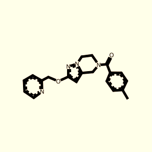 Cc1ccc(C(=O)N2CCn3nc(OCc4ccccn4)cc3C2)cc1